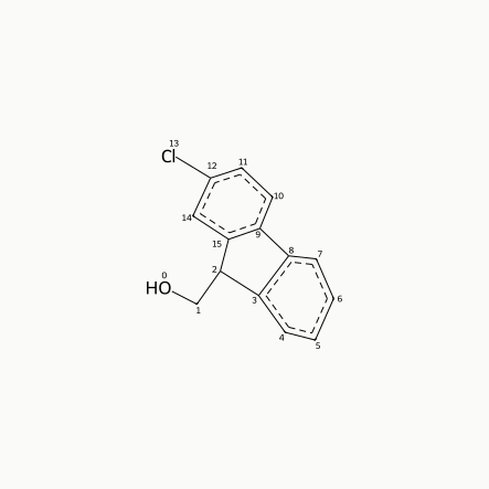 OCC1c2ccccc2-c2ccc(Cl)cc21